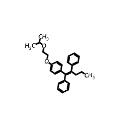 CCC/C(=C(\c1ccccc1)c1ccc(OCCOC(C)C)cc1)c1ccccc1